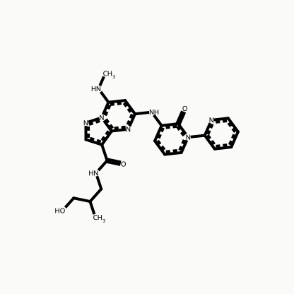 CNc1cc(Nc2cccn(-c3ccccn3)c2=O)nc2c(C(=O)NCC(C)CO)cnn12